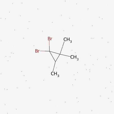 CC1C(C)(C)C1(Br)Br